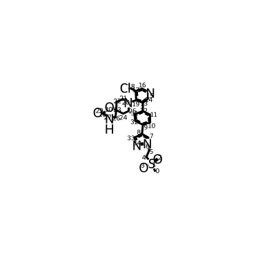 CS(=O)(=O)CCn1cc(-c2ccc(-c3cncc(Cl)c3N3CCC4(CC3)CNC(=O)O4)cc2)cn1